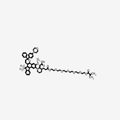 C=C(C)C(=O)OCCOCCOCCOCCOCCOCCOC(=O)CCC1CCCN(c2cc3c4c(c5c(c3cc2OC)OC(c2ccccc2)(c2ccc(N3CCOCC3)cc2)C=C5)C(C)(C)c2ccccc2-4)C1=CC(=O)O